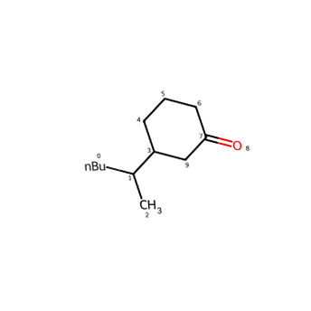 CCCCC(C)C1CCCC(=O)C1